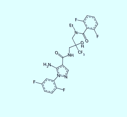 CCN(CC(O)(CNC(=O)c1cnn(-c2cc(F)ccc2F)c1N)C(F)(F)F)C(=O)c1c(F)cccc1F